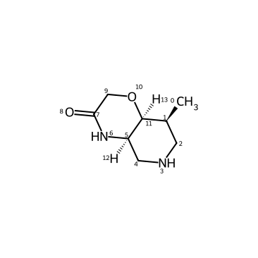 C[C@H]1CNC[C@H]2NC(=O)CO[C@@H]12